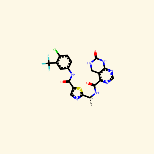 C[C@@H](NC(=O)c1ncnc2c1CNC(=O)N2)c1ncc(C(=O)Nc2ccc(Cl)c(C(F)(F)F)c2)s1